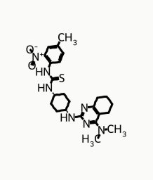 Cc1ccc(NC(=S)N[C@H]2CC[C@@H](Nc3nc4c(c(N(C)C)n3)CCCC4)CC2)c([N+](=O)[O-])c1